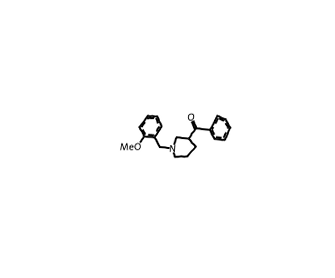 COc1ccccc1CN1CCCC(C(=O)c2ccccc2)C1